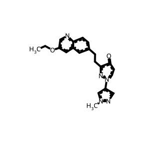 CCOc1cnc2ccc(CCc3nn(-c4cnn(C)c4)ccc3=O)cc2c1